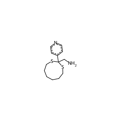 NCC1(c2ccncc2)SCCCCCCS1